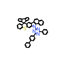 c1ccc(-c2ccc(-c3nc(-c4ccccc4)nc(-n4c5cc6c(cc5c5ccc7ccccc7c54)C4(c5ccccc5S6)c5ccccc5-c5ccccc54)n3)cc2)cc1